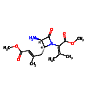 COC(=O)C=C(C)C[C@@H]1[C@@H](N)C(=O)N1C(C(=O)OC)=C(C)C